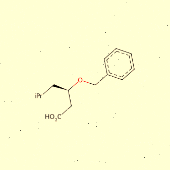 CC(C)C[C@H](CC(=O)O)OCc1ccccc1